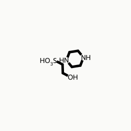 C1CNCCN1.O=S(=O)(O)CCO